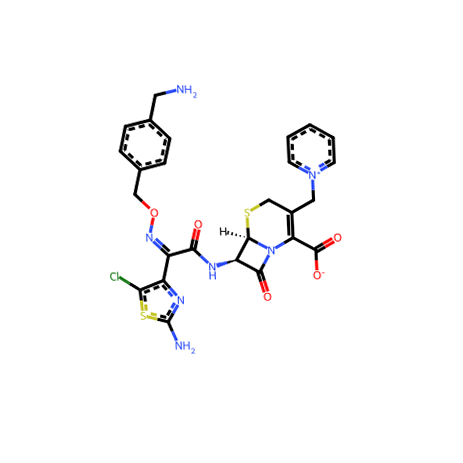 NCc1ccc(CO/N=C(\C(=O)N[C@@H]2C(=O)N3C(C(=O)[O-])=C(C[n+]4ccccc4)CS[C@H]23)c2nc(N)sc2Cl)cc1